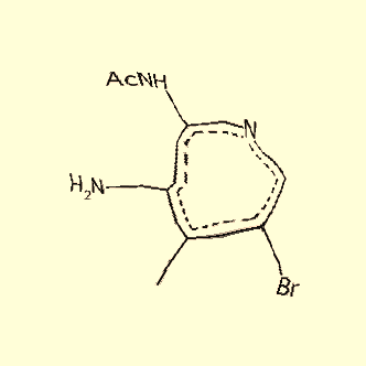 CC(=O)Nc1ncc(Br)c(C)c1N